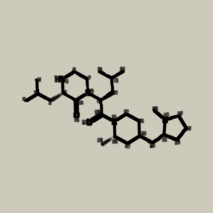 CC(C)C[C@@H]1NCCN([C@@H](CC(C)C)C(=O)N2CCC(CC3CCCN3C)C[C@@H]2C)C1=O